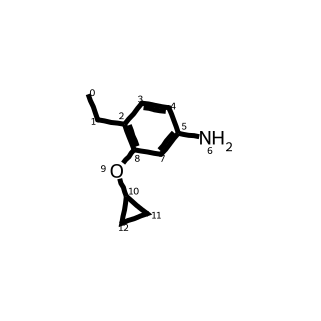 CCc1ccc(N)cc1OC1CC1